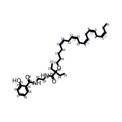 CC/C=C\C/C=C\C/C=C\C/C=C\C/C=C\CCCCOC(CC)(CC)C(=O)NCCNC(=O)c1ccccc1O